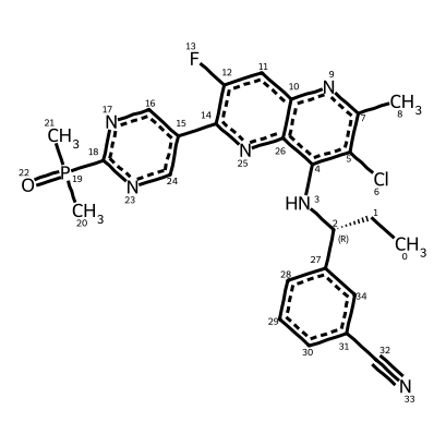 CC[C@@H](Nc1c(Cl)c(C)nc2cc(F)c(-c3cnc(P(C)(C)=O)nc3)nc12)c1cccc(C#N)c1